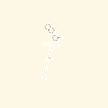 CC[C@@]1(OC(=O)CCCC(=O)OCCOCCN=[N+]=[N-])C(=O)OCc2c1cc1n(c2=O)Cc2cc3ccccc3cc2-1